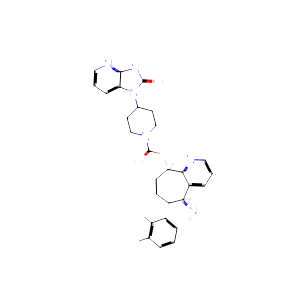 O=C(O[C@@H]1CC[C@@H](c2cccc(F)c2F)/C(=N\O)c2cccnc21)N1CCC(n2c(=O)[nH]c3ncccc32)CC1